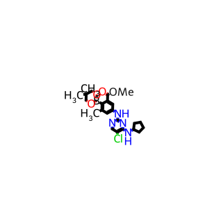 COC(=O)c1cc(Nc2ncc(Cl)c(NC3CCCC3)n2)cc(C)c1B1OCC(C)(C)CO1